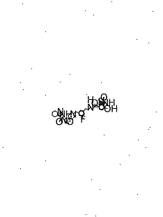 O=C(c1[nH]nc2c1CCCC2)N1CCOC2(CCN(Cc3cc(F)cc(CCNC[C@H](O)c4ccc(O)c5[nH]c(=O)sc45)c3)CC2)C1